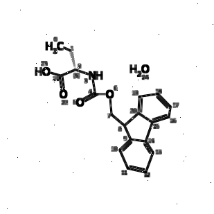 CC[C@H](NC(=O)OCC1c2ccccc2-c2ccccc21)C(=O)O.O